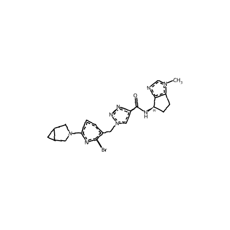 Cn1cnc2c1CC[C@H]2NC(=O)c1cn(Cc2ccc(N3CC4CC4C3)nc2Br)nn1